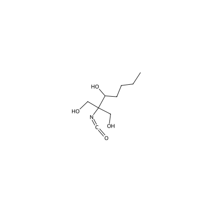 CCCCC(O)C(CO)(CO)N=C=O